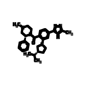 Cc1nnc(-c2ccc(C(=O)N3CCN(C)C[C@H]3c3ccccc3)c(N3CC[C@H](C(C)C)C3)c2)[nH]1